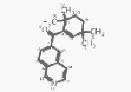 CC1(C)C=C(C(=O)c2ccc3cnccc3c2)C(C)(C)CC1